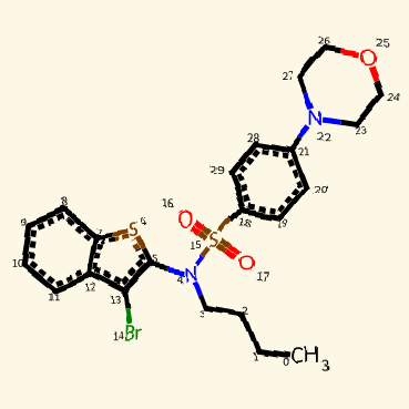 CCCCN(c1sc2ccccc2c1Br)S(=O)(=O)c1ccc(N2CCOCC2)cc1